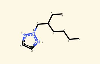 CCCCC(CC)Cn1nccn1